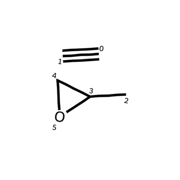 C#C.CC1CO1